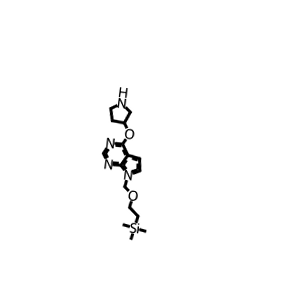 C[Si](C)(C)CCOCn1ccc2c(OC3CCNC3)ncnc21